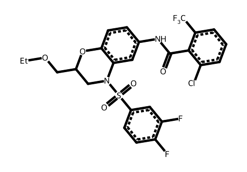 CCOCC1CN(S(=O)(=O)c2ccc(F)c(F)c2)c2cc(NC(=O)c3c(Cl)cccc3C(F)(F)F)ccc2O1